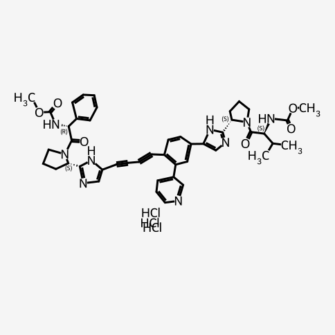 COC(=O)N[C@H](C(=O)N1CCC[C@H]1c1ncc(-c2ccc(C#CC#Cc3cnc([C@@H]4CCCN4C(=O)[C@H](NC(=O)OC)c4ccccc4)[nH]3)c(-c3cccnc3)c2)[nH]1)C(C)C.Cl.Cl.Cl